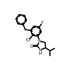 CC(C)C1CN(c2cc(F)cc(Cc3ccccc3)c2Cl)C(=O)N1